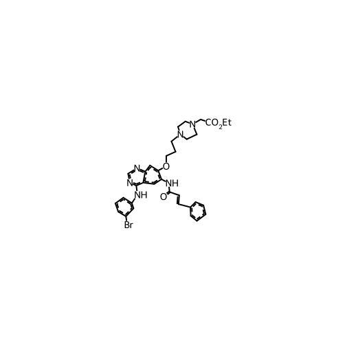 CCOC(=O)CN1CCN(CCCOc2cc3ncnc(Nc4cccc(Br)c4)c3cc2NC(=O)/C=C/c2ccccc2)CC1